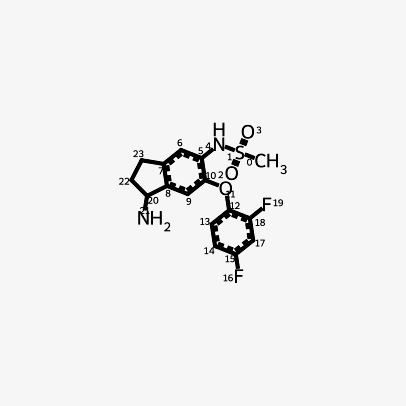 CS(=O)(=O)Nc1cc2c(cc1Oc1ccc(F)cc1F)C(N)CC2